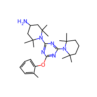 Cc1ccccc1Oc1nc(N2C(C)(C)CCCC2(C)C)nc(N2C(C)(C)CC(N)CC2(C)C)n1